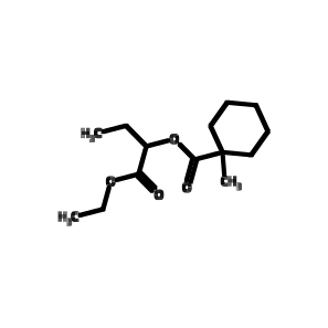 CCOC(=O)C(CC)OC(=O)C1(C)CCCCC1